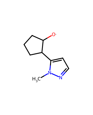 Cn1nccc1C1CCCC1[O]